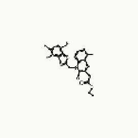 CCOC(=O)Cc1cc2c(C)cccc2n(Cc2nc3c(F)c(F)cc(F)c3s2)c1=O